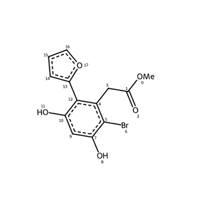 COC(=O)Cc1c(Br)c(O)cc(O)c1-c1ccco1